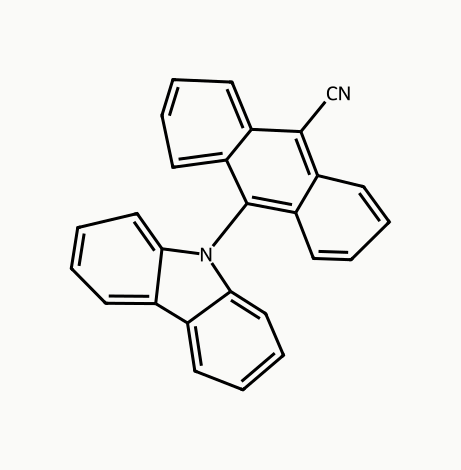 N#Cc1c2ccccc2c(-n2c3ccccc3c3ccccc32)c2ccccc12